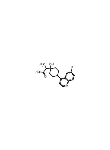 CC(C(=O)O)C1(O)CCC(c2ccnc3ccc(F)cc23)CC1